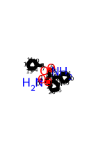 NOC(=O)[C@H](C(=O)OCc1ccccc1)C(N)(c1ccccc1)c1ccccc1